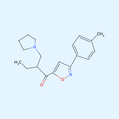 CCC(CN1CCCC1)C(=O)c1cc(-c2ccc(C)cc2)no1